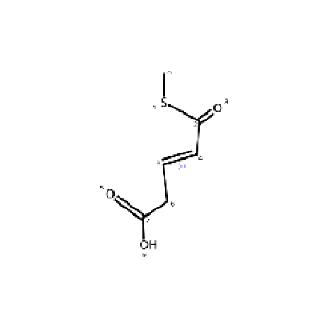 CSC(=O)/C=C/CC(=O)O